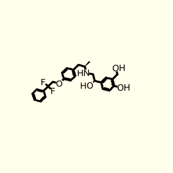 C[C@H](Cc1ccc(OCC(F)(F)c2ccccc2)cc1)NC[C@H](O)c1ccc(O)c(CO)c1